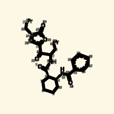 CC(C)CC(NC(=O)[C@@H]1CCCC[C@@H]1NC(=O)c1ccccc1)C(=O)c1nn(CC(C)C)c(=O)o1